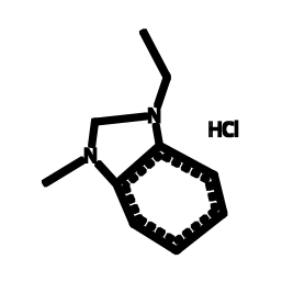 CCN1CN(C)c2ccccc21.Cl